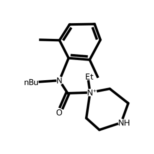 CCCCN(C(=O)[N+]1(CC)CCNCC1)c1c(C)cccc1C